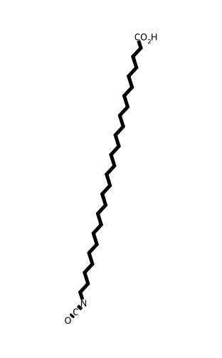 O=C=NCCCCCCCCCCCCCCCCCCCCCCCCCCC(=O)O